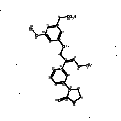 CCCON=C(COc1cc(CC(=O)O)cc(OCC)c1)c1cccc(N2CCOC2=O)c1